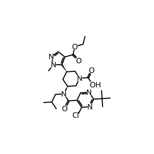 CCOC(=O)c1cnn(C)c1[C@@H]1C[C@H](N(CC(C)C)C(=O)c2cnc(C(C)(C)C)nc2Cl)CN(C(=O)O)C1